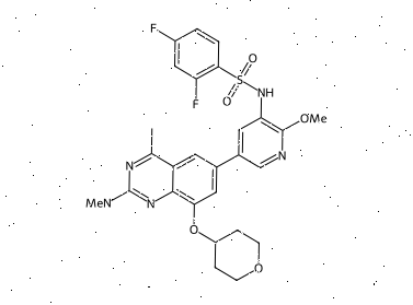 CNc1nc(C)c2cc(-c3cnc(OC)c(NS(=O)(=O)c4ccc(F)cc4F)c3)cc(OC3CCOCC3)c2n1